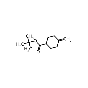 C=C1CCC(C(=O)OC(C)(C)C)CC1